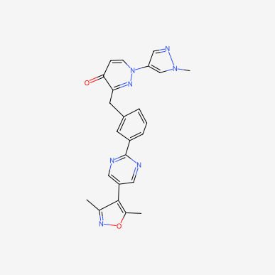 Cc1noc(C)c1-c1cnc(-c2cccc(Cc3nn(-c4cnn(C)c4)ccc3=O)c2)nc1